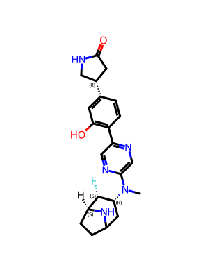 CN(c1cnc(-c2ccc([C@@H]3CNC(=O)C3)cc2O)cn1)[C@@H]1CC2CC[C@H](N2)[C@@H]1F